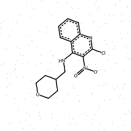 O=[N+]([O-])c1c(Cl)nc2ccccc2c1NCC1CCOCC1